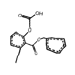 CCc1cccc(OC(=O)O)c1C(=O)Oc1ccccc1